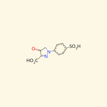 O=C(O)C1=NN(c2ccc(S(=O)(=O)O)cc2)CC1=O